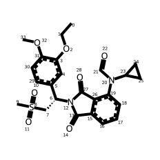 CCOc1cc([C@@H](CS(C)(=O)=O)N2C(=O)c3cccc(N(C=O)C4CC4)c3C2=O)ccc1OC